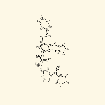 O=C(Nc1ccnc(C(=O)C2CCCC2)c1)Nc1nc(CSc2ccccc2)c(Sc2ncc[nH]2)s1